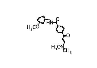 COc1cccc(CNC(=O)c2ccc(C(=O)/C=C/N(C)C)cc2)c1